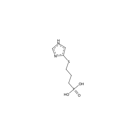 O=P(O)(O)CCCSc1c[nH]cn1